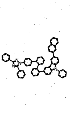 c1ccc(-c2nc(-c3ccccc3)n(-c3ccc(-c4ccccc4-c4ccccc4-c4ccc5c(c4)c4cc(-c6ccc7ccccc7c6)ccc4n5-c4ccccc4)cc3)n2)cc1